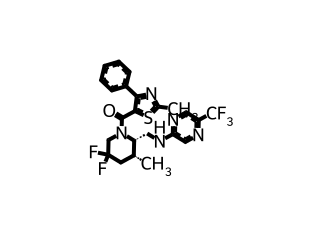 Cc1nc(-c2ccccc2)c(C(=O)N2CC(F)(F)C[C@@H](C)[C@H]2CNc2cnc(C(F)(F)F)cn2)s1